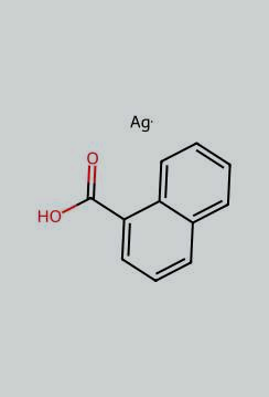 O=C(O)c1cccc2ccccc12.[Ag]